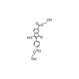 O=C(OCCO)c1ccc(N2C(=O)c3cc(C(=O)OCCO)ccc3C2O)cc1